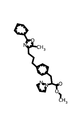 CCOC(=O)C(Cc1ccc(CCCc2nc(-c3ccccc3)oc2C)cc1)n1cccn1